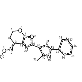 CCO/N=C1\CCOc2oc(-c3sc(-c4cccnc4)nc3C)nc21